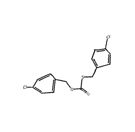 O=C(OCc1ccc(Cl)cc1)SCc1ccc(Cl)cc1